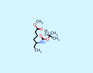 CCC(CCCC(=O)OC)NC(=O)OC(C)(C)C